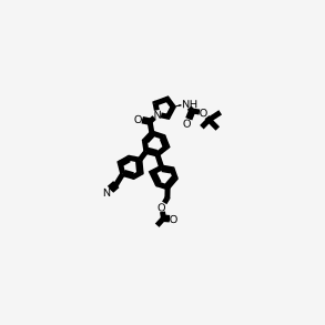 CC(=O)OCc1ccc(-c2ccc(C(=O)N3CC[C@H](NC(=O)OC(C)(C)C)C3)cc2-c2ccc(C#N)cc2)cc1